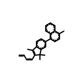 C=C/C=C\C1=C(C)c2ccc(-c3ccc(I)c4ccccc34)cc2C1(C)C